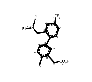 CCN(Cc1cc(C(F)(F)F)ccc1-c1ccc(C)c(CC(=O)O)c1)C(C)=O